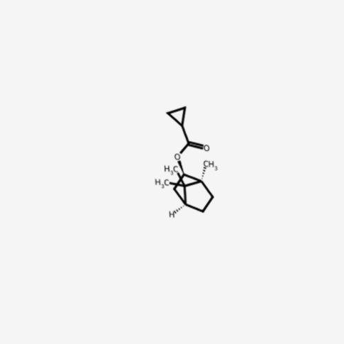 CC1(C)[C@H]2CC[C@]1(C)[C@H](OC(=O)C1CC1)C2